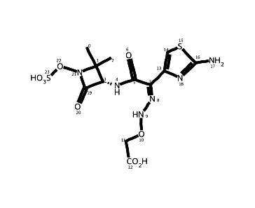 CC1(C)[C@H](NC(=O)C(=NNOCC(=O)O)c2csc(N)n2)C(=O)N1OS(=O)(=O)O